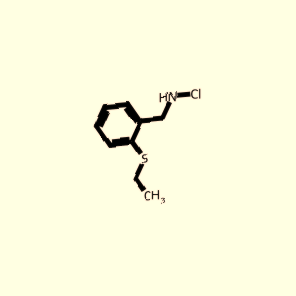 CCSc1ccccc1CNCl